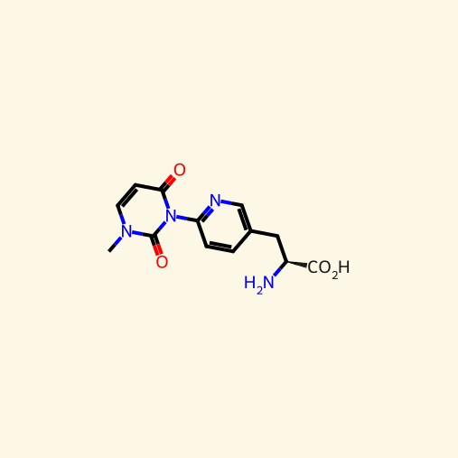 Cn1ccc(=O)n(-c2ccc(C[C@H](N)C(=O)O)cn2)c1=O